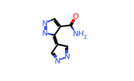 NC(=O)C1=CN=NC1=C1C=NN=C1